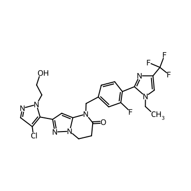 CCn1cc(C(F)(F)F)nc1-c1ccc(CN2C(=O)CCn3nc(-c4c(Cl)cnn4CCO)cc32)cc1F